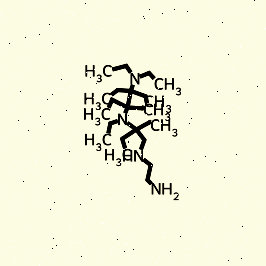 CCN(CC)C(CC)(CC)C(CC)(CC)N(CC)C(CC)(CC)CNCCN